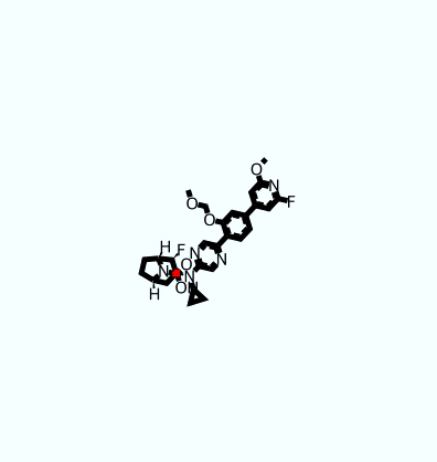 COCOc1cc(-c2cc(F)nc(OC)c2)ccc1-c1cnc(N(C2CC2)[C@@H]2C[C@H]3CC[C@@H]([C@@H]2F)N3C(=O)O)cn1